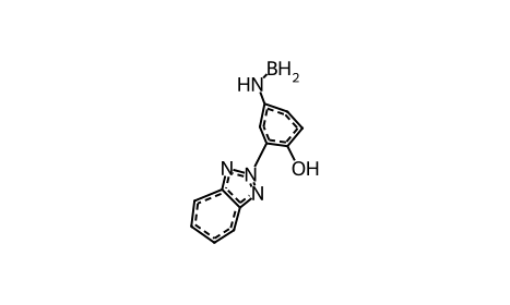 BNc1ccc(O)c(-n2nc3ccccc3n2)c1